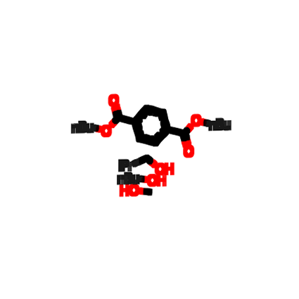 CC(C)CO.CCCCO.CCCCOC(=O)c1ccc(C(=O)OCCCC)cc1.CO